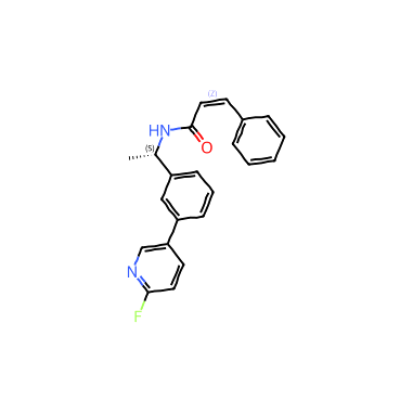 C[C@H](NC(=O)/C=C\c1ccccc1)c1cccc(-c2ccc(F)nc2)c1